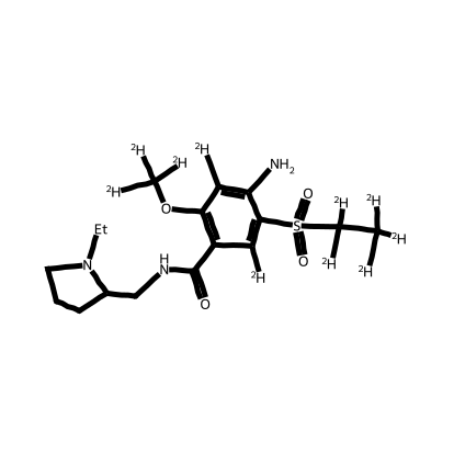 [2H]c1c(N)c(S(=O)(=O)C([2H])([2H])C([2H])([2H])[2H])c([2H])c(C(=O)NCC2CCCN2CC)c1OC([2H])([2H])[2H]